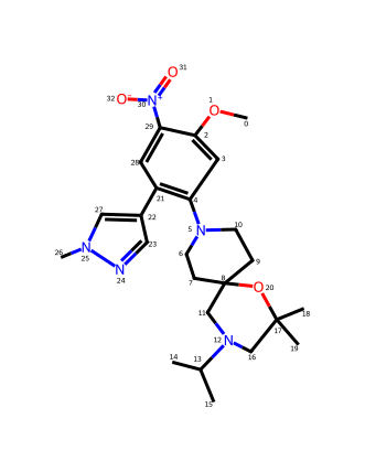 COc1cc(N2CCC3(CC2)CN(C(C)C)CC(C)(C)O3)c(-c2cnn(C)c2)cc1[N+](=O)[O-]